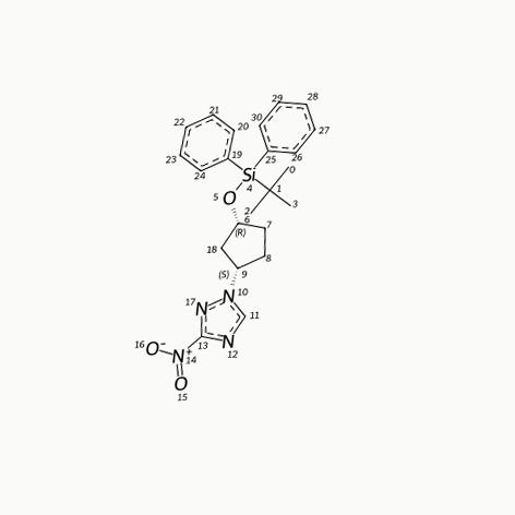 CC(C)(C)[Si](O[C@@H]1CC[C@H](n2cnc([N+](=O)[O-])n2)C1)(c1ccccc1)c1ccccc1